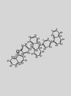 c1ccc2c(-c3ccc(-c4c5ccccc5c(-c5ccc6oc7c8ccccc8ccc7c6c5)c5ccccc45)cc3)cccc2c1